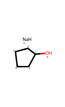 OC1CCCC1.[NaH]